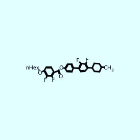 CCCCCCOc1ccc(C(=O)Oc2ccc(-c3ccc(C4CCC(C)CC4)c(F)c3F)cc2)c(F)c1F